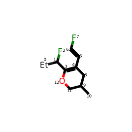 CCC(F)C1=C(/C=C/F)CC(C)CO1